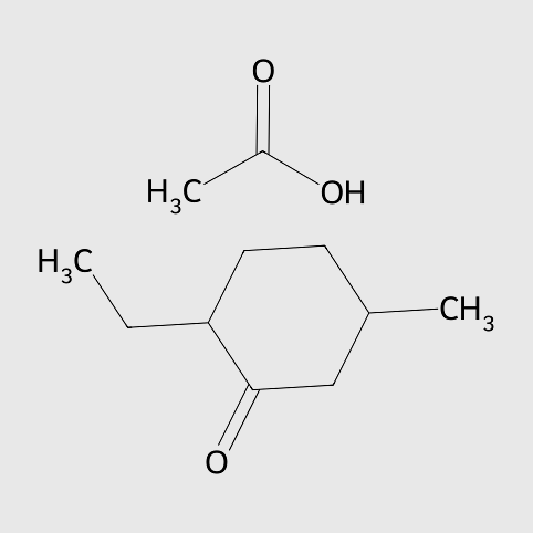 CC(=O)O.CCC1CCC(C)CC1=O